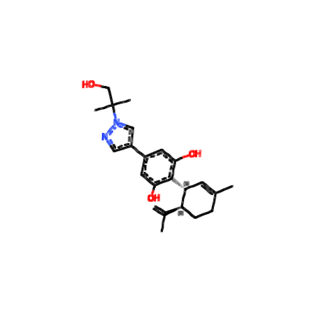 C=C(C)[C@@H]1CCC(C)=C[C@H]1c1c(O)cc(-c2cnn(C(C)(C)CO)c2)cc1O